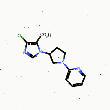 O=C(O)c1c(Cl)ncn1C1CCN(c2ccccn2)C1